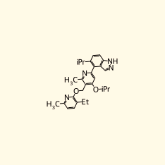 CCc1ccc(C)nc1OCc1c(OC(C)C)cc(-c2c(C(C)C)ccc3[nH]ncc23)nc1C